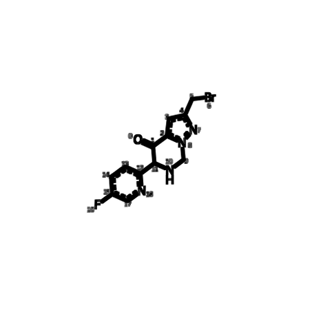 O=C1c2cc(CBr)nn2CNC1c1ccc(F)cn1